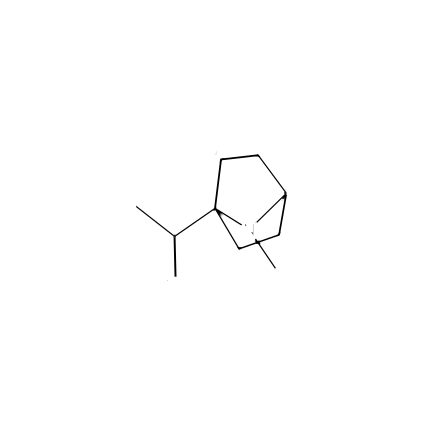 CC(C)C12CCC(CC1)N2C